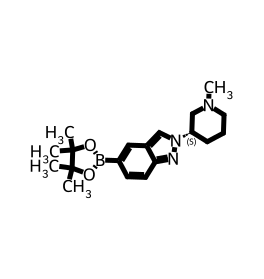 CN1CCC[C@H](n2cc3cc(B4OC(C)(C)C(C)(C)O4)ccc3n2)C1